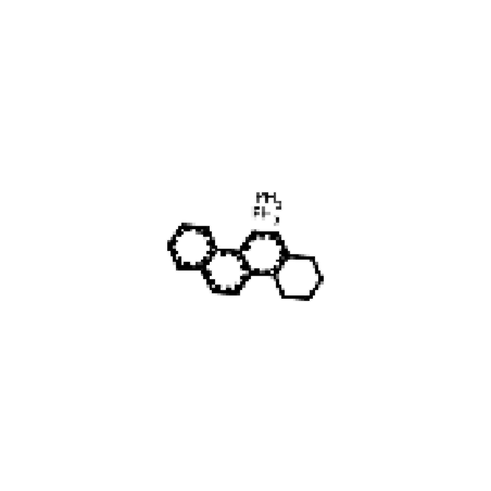 P.P.c1ccc2c(c1)ccc1c3c(ccc12)CCCC3